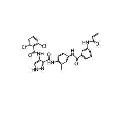 C=CC(=O)Nc1cccc(C(=O)Nc2ccc(NC(=O)c3n[nH]cc3NC(=O)c3c(Cl)cccc3Cl)c(C)c2)c1